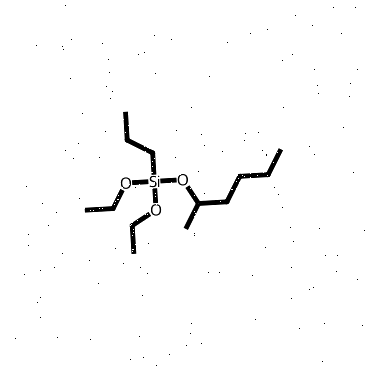 CCCCC(C)O[Si](CCC)(OCC)OCC